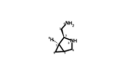 NC[C@H]1NCC2C[C@H]21